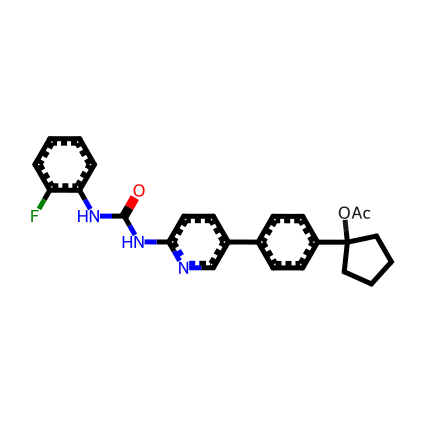 CC(=O)OC1(c2ccc(-c3ccc(NC(=O)Nc4ccccc4F)nc3)cc2)CCCC1